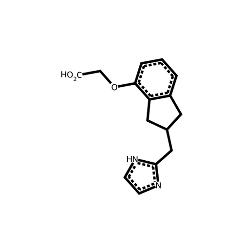 O=C(O)COc1cccc2c1CC(Cc1ncc[nH]1)C2